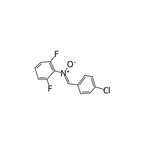 [O-][N+](=Cc1ccc(Cl)cc1)c1c(F)cccc1F